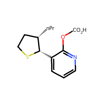 CCC[C@H]1CCS[C@H]1c1cccnc1OC(=O)O